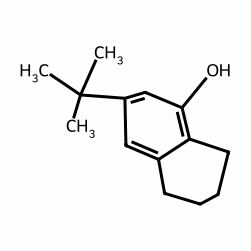 CC(C)(C)c1cc(O)c2c(c1)CCCC2